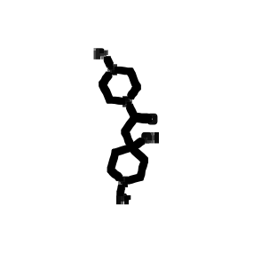 CC(C)N1CCN(C(=O)CC2(O)CCN(C(C)C)CC2)CC1